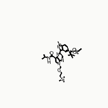 CC(C)NC(=O)c1cn(COCC[Si](C)(C)C)c2ncc(-c3nn(C)c4ccc(C(O[SiH](C)C)C(C)(C)C)cc34)nc12